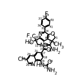 C[C@]1(C(N)=O)COc2c1cc(C(O)(CNC(=O)c1cc(NC(N)=O)c3ncc(Cl)cc3c1)C(F)(F)F)nc2-c1ccc(F)cc1